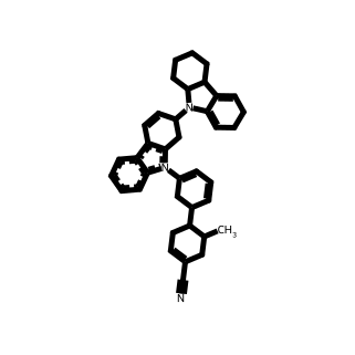 CC1CC(C#N)=CCC1C1C=CC=C(n2c3c(c4ccccc42)C=CC(N2C4=CCCC=C4C4CCCCC42)C3)C1